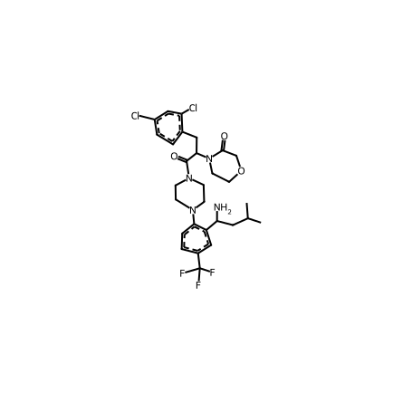 CC(C)CC(N)c1cc(C(F)(F)F)ccc1N1CCN(C(=O)C(Cc2ccc(Cl)cc2Cl)N2CCOCC2=O)CC1